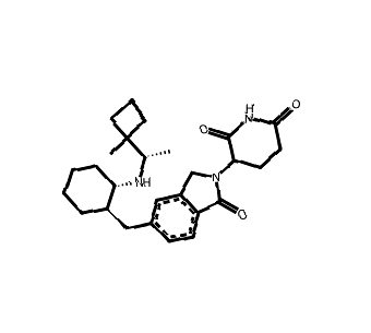 C[C@H](N[C@H]1CCCC[C@@H]1Cc1ccc2c(c1)CN(C1CCC(=O)NC1=O)C2=O)C1(C)CCC1